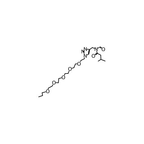 CCCOCCOCCOCCOCCOCCn1cc(CN(C=O)C(=O)CC(C)C)nn1